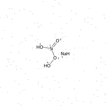 O=[Si](O)OO.[NaH]